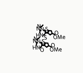 COC(=O)C1Cc2sc3c(c2C1)C(=O)NCc1nnc(C)n1-3.COC(=O)C1Cc2sc3c(c2C1)C(=S)NCc1nnc(C)n1-3